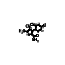 Bc1sc(C(N)=O)c(-c2ccc(Cl)cc2Cl)c1C#N